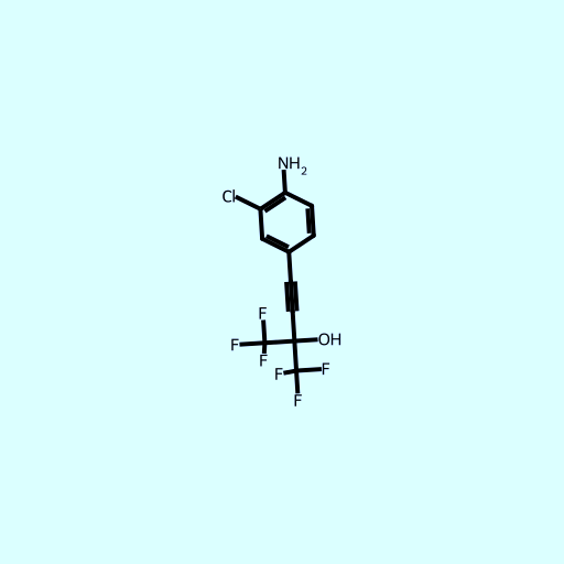 Nc1ccc(C#CC(O)(C(F)(F)F)C(F)(F)F)cc1Cl